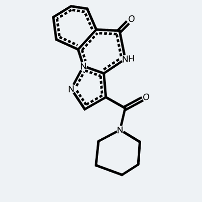 O=C(c1cnn2c1[nH]c(=O)c1ccccc12)N1CCCCC1